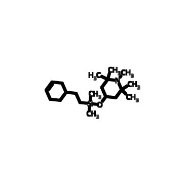 CN1C(C)(C)CC(O[Si](C)(C)CCC2CC=CCC2)CC1(C)C